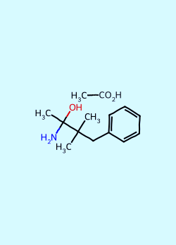 CC(=O)O.CC(N)(O)C(C)(C)Cc1ccccc1